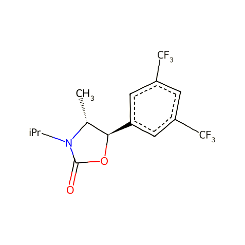 CC(C)N1C(=O)O[C@H](c2cc(C(F)(F)F)cc(C(F)(F)F)c2)[C@H]1C